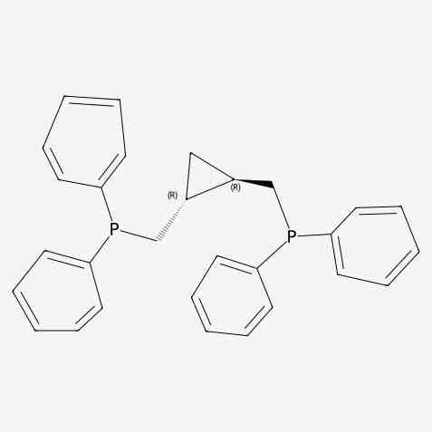 c1ccc(P(C[C@@H]2C[C@H]2CP(c2ccccc2)c2ccccc2)c2ccccc2)cc1